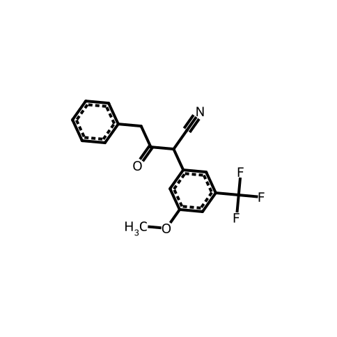 COc1cc(C(C#N)C(=O)Cc2ccccc2)cc(C(F)(F)F)c1